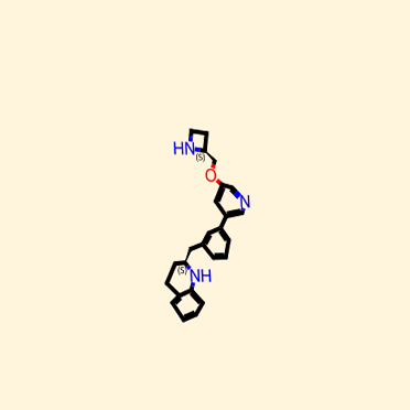 c1cc(C[C@@H]2CCc3ccccc3N2)cc(-c2cncc(OC[C@@H]3CCN3)c2)c1